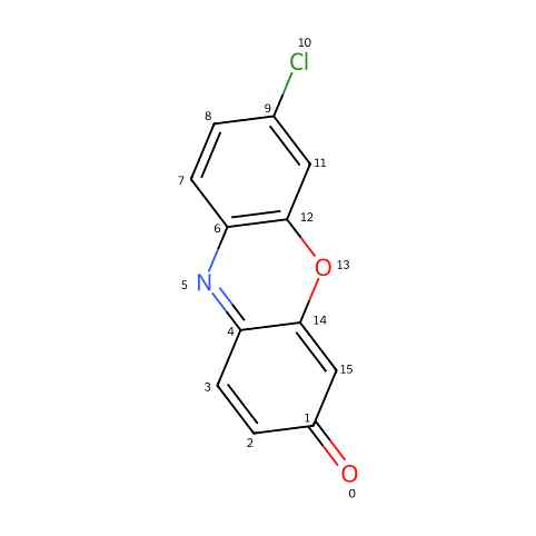 O=c1ccc2nc3ccc(Cl)cc3oc-2c1